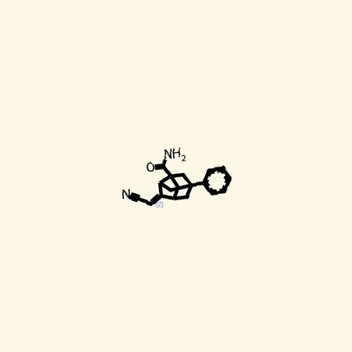 N#C/C=C1/C2CC3(c4ccccc4)CC1C(C(N)=O)(C2)C3